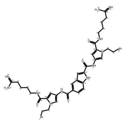 CC(C)CCn1cc(NC(=O)c2ccc3[nH]c(C(=O)Nc4cc(C(=O)NCCCCC(=N)N)n(CCC(C)C)c4)cc3c2)cc1C(=O)NCCCCC(=N)N